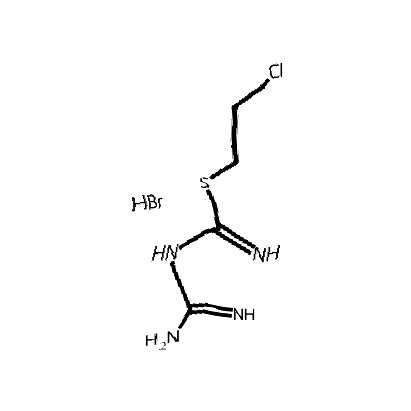 Br.N=C(N)NC(=N)SCCCl